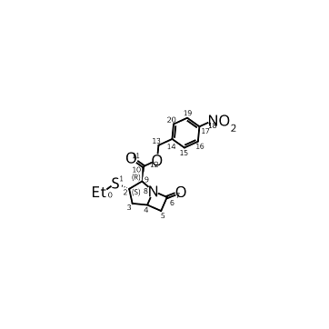 CCS[C@H]1CC2CC(=O)N2[C@@H]1C(=O)OCc1ccc([N+](=O)[O-])cc1